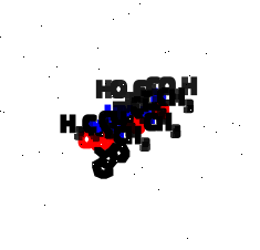 CC(C)C[C@@H](C(=O)N[C@@H](C)C(=O)N(C)[C@H](C(=O)N(C)[C@@H](CC(=O)O)C(=O)O)C(C)C)N(C)C(=O)[C@H](C)N(C)C(=O)OCC1c2ccccc2-c2ccccc21